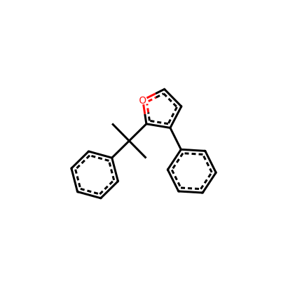 CC(C)(c1ccccc1)c1occc1-c1ccccc1